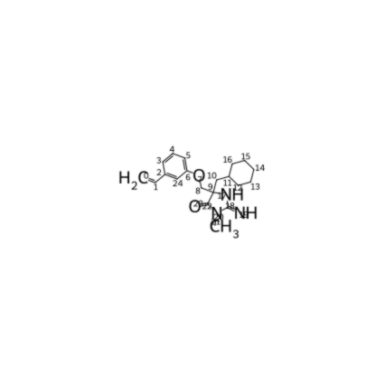 C=Cc1cccc(OCC2(CC3CCCCC3)NC(=N)N(C)C2=O)c1